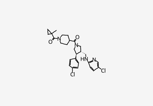 CC1(C(=O)N2CCC(C(=O)N3C[C@H](CNc4ccc(Cl)cn4)[C@@H](c4ccc(Cl)cc4)C3)CC2)CC1